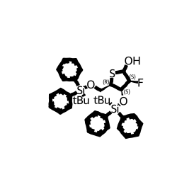 CC(C)(C)[Si](OC[C@H]1SC(O)[C@@H](F)[C@@H]1O[Si](c1ccccc1)(c1ccccc1)C(C)(C)C)(c1ccccc1)c1ccccc1